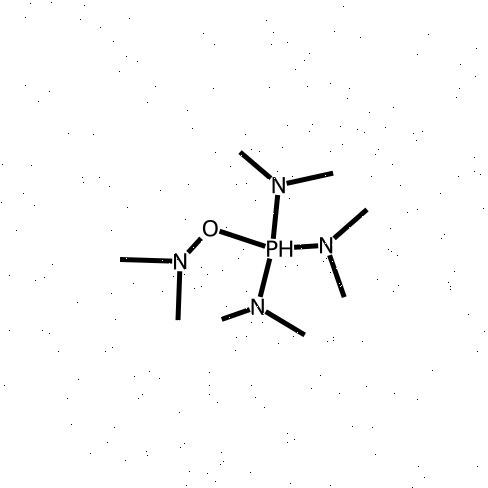 CN(C)O[PH](N(C)C)(N(C)C)N(C)C